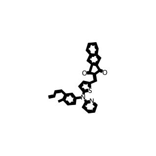 C=C/C=C\c1cc(N(c2ccccn2)c2ccc(C=C3C(=O)c4cc5ccccc5cc4C3=O)s2)ccc1C